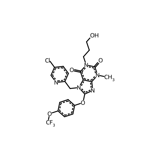 Cn1c(=O)n(CCCO)c(=O)c2c1nc(Oc1ccc(OC(F)(F)F)cc1)n2Cc1ccc(Cl)cn1